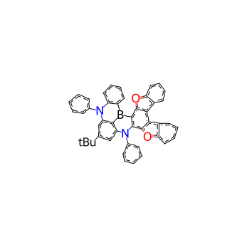 CC(C)(C)c1cc2c3c(c1)N(c1ccccc1)c1c(c4oc5ccccc5c4c4c1oc1ccccc14)B3c1ccccc1N2c1ccccc1